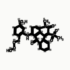 Cn1c(=O)c(S(C)(=O)=O)c2c3c(c(Nc4cc(S(=O)(=O)O)ccc4SOOO)ccc31)C(=O)c1ccccc1-2